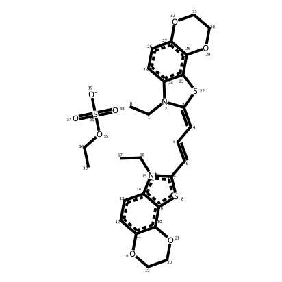 CCN1C(=CC=Cc2sc3c4c(ccc3[n+]2CC)OCCO4)Sc2c1ccc1c2OCCO1.CCOS(=O)(=O)[O-]